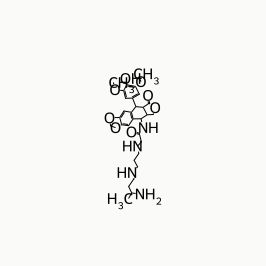 COc1cc(C2c3cc4c(cc3C(NC(=O)CNCCCNCCC(C)N)C3COC(=O)C23)OCO4)cc(OC)c1O